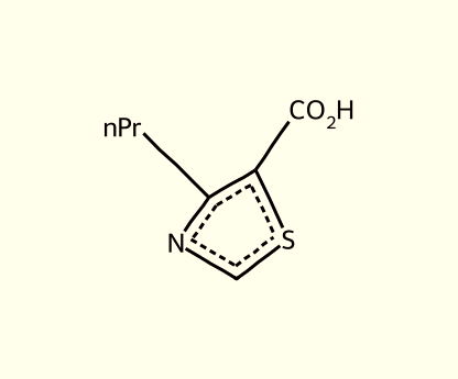 CCCc1ncsc1C(=O)O